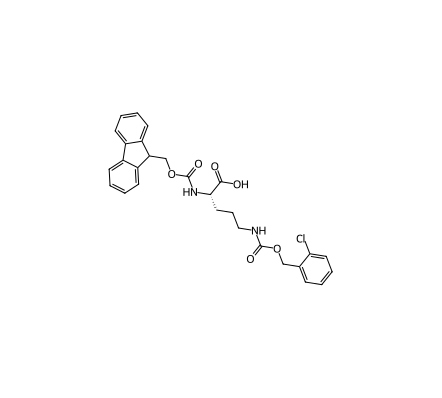 O=C(NCCC[C@H](NC(=O)OCC1c2ccccc2-c2ccccc21)C(=O)O)OCc1ccccc1Cl